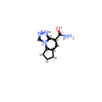 NC(=O)c1cc2c(n3cnnc13)CCC2